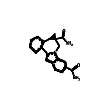 NC(=O)c1ccc2cc3n(c2c1)CC1(C(N)=O)C=C1c1ccccc1-3